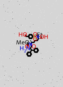 CCN([C@H](CO)CCC[C@H](C)N(C(=O)OC)C(=O)[C@@H](N)C(c1ccccc1)c1ccccc1)S(=O)(=O)c1ccc(CO)cc1